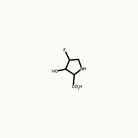 O=C(O)C1NCC(F)C1O